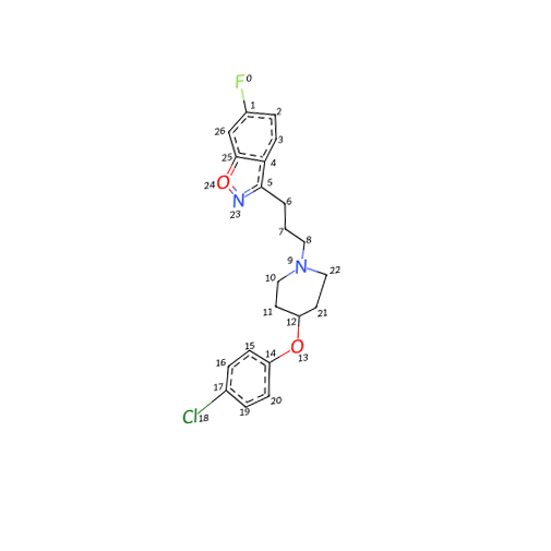 Fc1ccc2c(CCCN3CCC(Oc4ccc(Cl)cc4)CC3)noc2c1